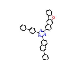 c1ccc(-c2ccc(-c3nc(-c4ccc5cc(-c6ccccc6)ccc5c4)nc(-c4ccc5cc6oc7ccccc7c6cc5c4)n3)cc2)cc1